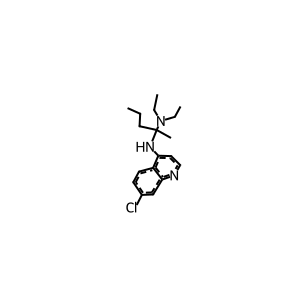 CCCC(C)(Nc1ccnc2cc(Cl)ccc12)N(CC)CC